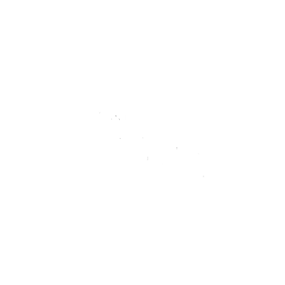 CC(=O)NC/C=C/C1CC=CCC1